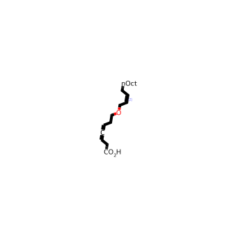 CCCCCCCCC/C=C\COCCC=C=CCC(=O)O